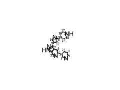 c1cncc(-c2cc3c(-c4cnn(C5CCNCC5)c4)n[nH]c3cn2)c1